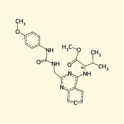 COC(=O)[C@@H](Nc1nc(CNC(=O)Nc2ccc(OC)cc2)nc2ccccc12)C(C)C